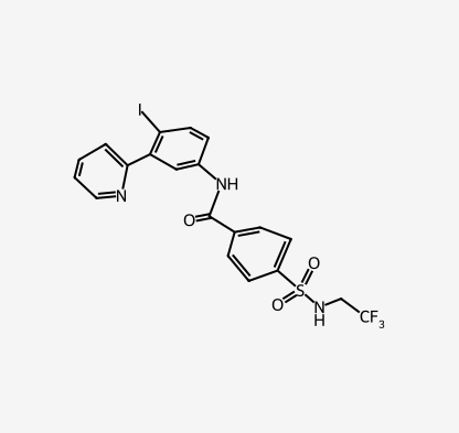 O=C(Nc1ccc(I)c(-c2ccccn2)c1)c1ccc(S(=O)(=O)NCC(F)(F)F)cc1